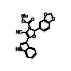 CC(C)(C)OC(=O)N1C(C#N)=C(c2c[nH]c3ccccc23)OC1c1ccc2c(c1)OCO2